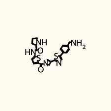 NCc1ccc(-c2cnc(C3CN(C(=O)c4ccc(NC(=O)C5CCCN5)s4)C3)s2)cc1